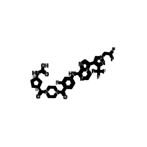 O=C(O)N[C@@H]1CC[C@H](C(=O)N2CCN(C(=O)c3ccc(Nc4nccn5c(-c6cn(CC(F)F)nc6C(F)(F)F)cnc45)cc3F)CC2)C1